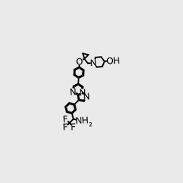 NC(c1cccc(-c2cnn3cc(-c4ccc(OC5(CN6CCC(O)CC6)CC5)cc4)cnc23)c1)C(F)(F)F